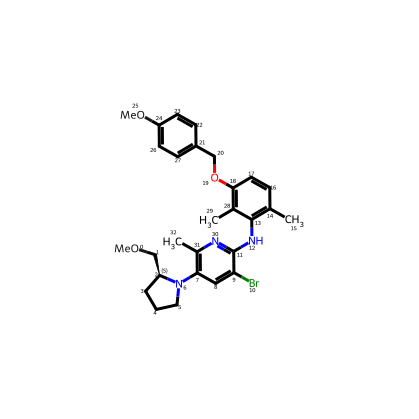 COC[C@@H]1CCCN1c1cc(Br)c(Nc2c(C)ccc(OCc3ccc(OC)cc3)c2C)nc1C